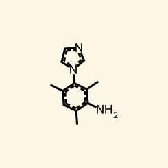 Cc1cc(C)c(-n2ccnc2)c(C)c1N